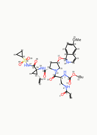 C=CC(=O)NC[C@H](NC(=O)OC(C)(C)C)C(=O)N1C[C@H](Oc2nccc3cc(OC)ccc23)C[C@H]1C(=O)N[C@]1(C(=O)NS(=O)(=O)C2CC2)C[C@H]1C=C